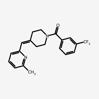 Cc1cccc(C=C2CCN(C(=O)c3cccc(C(F)(F)F)c3)CC2)n1